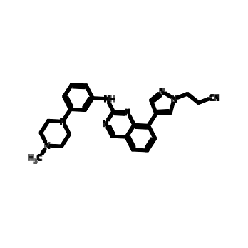 CN1CCN(c2cccc(Nc3ncc4cccc(-c5cnn(CCC#N)c5)c4n3)c2)CC1